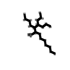 CCCCCCCC(P)C(CCCC)C(CCC)CCC